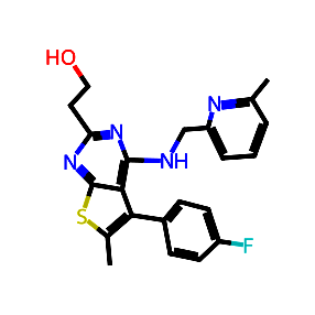 Cc1cccc(CNc2nc(CCO)nc3sc(C)c(-c4ccc(F)cc4)c23)n1